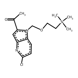 CC(=O)c1cc2nc(Cl)ccc2n1COCC[Si](C)(C)C